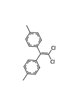 Cc1ccc(C(=C(Cl)Cl)c2ccc(C)cc2)cc1